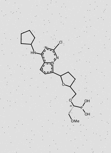 COC[C@H](OCC1CCC(c2ccc3c(NC4CCCC4)nc(Cl)nn23)O1)P(O)O